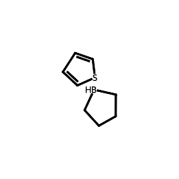 B1CCCC1.c1ccsc1